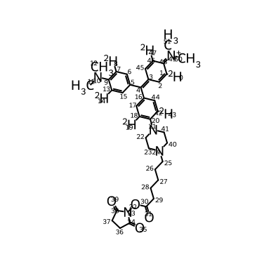 [2H]C1=CC(=C(c2cc([2H])c(N(C)C)c([2H])c2)c2cc([2H])c(N3CCN(CCCCCC(=O)ON4C(=O)CCC4=O)CC3)c([2H])c2)C=C([2H])C1=[N+](C)C